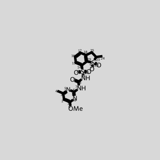 COc1cc(C)nc(NC(=O)NS(=O)(=O)c2cccc3c2S(=O)(=O)C(C)C3)n1